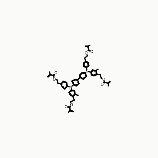 C=C(C)C(=O)OCCc1ccc(N(c2ccc(-c3ccc(N(c4ccc(CCOC(=O)C(=C)C)cc4)c4ccc(CCOC(=O)C(=C)C)c(C)c4)cc3)cc2)c2ccc(CCOC(=O)C(=C)C)c(C)c2)cc1